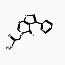 NC(=O)Cn1cnc2scc(-c3ccccc3)c2c1=O